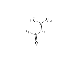 O=C(F)OC(C(F)(F)F)C(F)(F)F